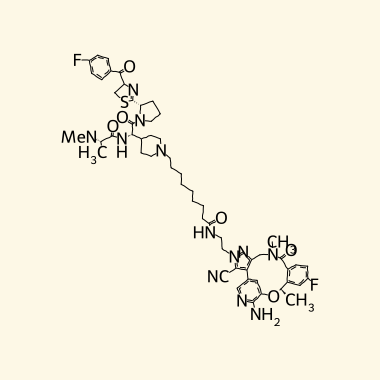 CN[C@@H](C)C(=O)N[C@H](C(=O)N1CCC[C@H]1C1=NC(C(=O)c2ccc(F)cc2)CS1)C1CCN(CCCCCCCCC(=O)NCCn2nc3c(c2C#N)-c2cnc(N)c(c2)O[C@H](C)c2cc(F)ccc2C(=O)N(C)C3)CC1